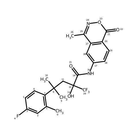 Cc1cc(F)ccc1C(C)(C)CC(O)(C(=O)Nc1ccc2c(=O)onc(C)c2c1)C(F)(F)F